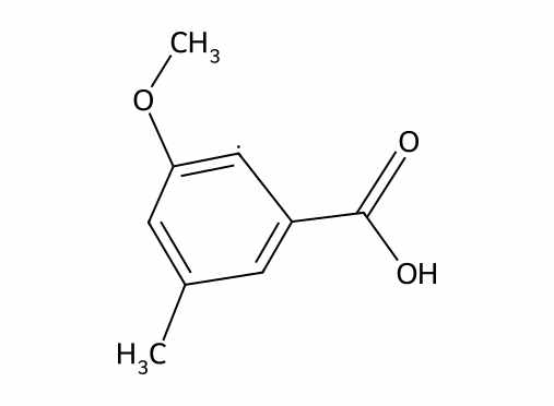 COc1[c]c(C(=O)O)cc(C)c1